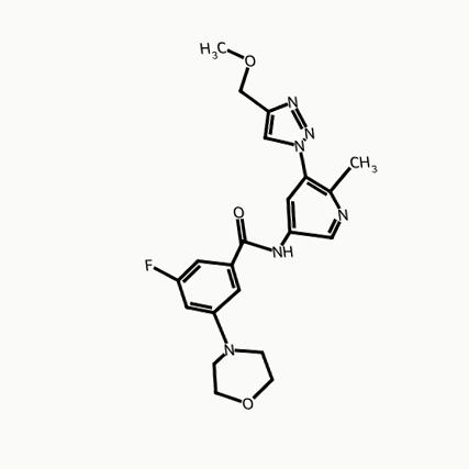 COCc1cn(-c2cc(NC(=O)c3cc(F)cc(N4CCOCC4)c3)cnc2C)nn1